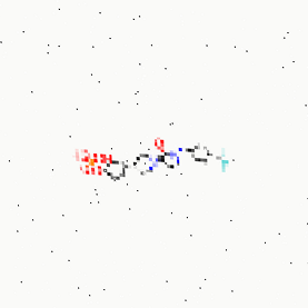 O=C1[C@H](N2CCC(c3ccc(OP(=O)(O)O)cc3)CC2)CCN1Cc1ccc(C(F)F)cc1